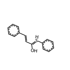 OC(C=Cc1ccccc1)=[SH]c1ccccc1